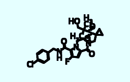 CC(C)(CO)S(=O)(=O)C1(CN2CCn3c(cc(F)c3C(=O)NCc3ccc(Cl)cc3)C2=O)CC1